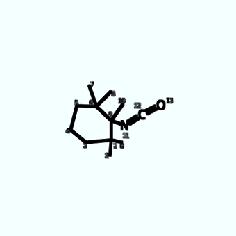 CC1(C)CCCC(C)(C)C1(C)N=C=O